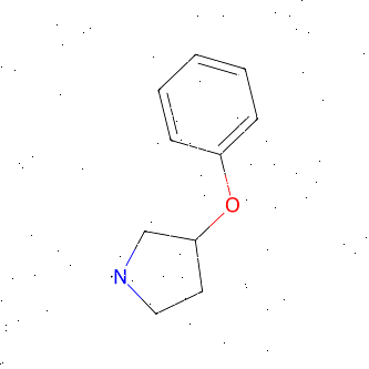 c1ccc(OC2CC[N]C2)cc1